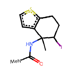 CNC(=O)NC1(C)c2ccsc2CCC1I